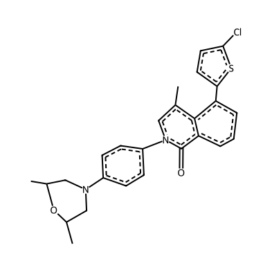 Cc1cn(-c2ccc(N3CC(C)OC(C)C3)cc2)c(=O)c2cccc(-c3ccc(Cl)s3)c12